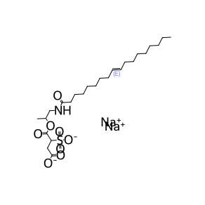 CCCCCCCC/C=C/CCCCCCCC(=O)NCC(C)OC(=O)C(CC(=O)[O-])S(=O)(=O)[O-].[Na+].[Na+]